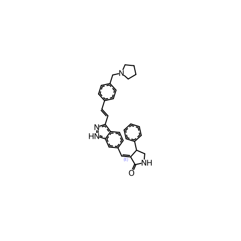 O=C1NCC(c2ccccc2)/C1=C\c1ccc2c(C=Cc3ccc(CN4CCCC4)cc3)n[nH]c2c1